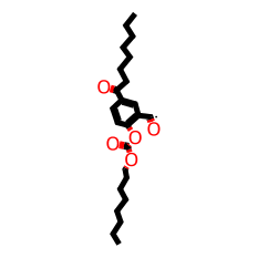 CCCCCCCCOC(=O)Oc1ccc(C(=O)CCCCCCC)cc1[C]=O